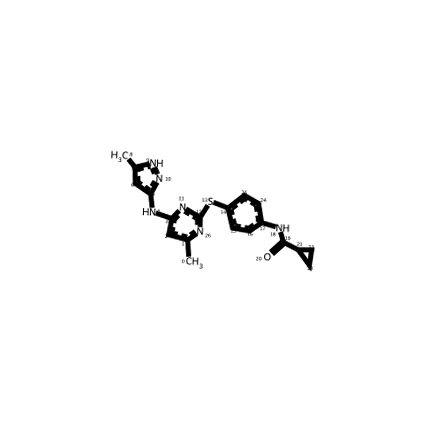 Cc1cc(Nc2cc(C)[nH]n2)nc(Sc2ccc(NC(=O)C3CC3)cc2)n1